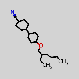 CCCCC(CC)COC1CCC(C2CCC(C#N)CC2)CC1